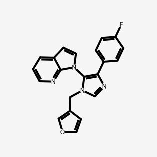 Fc1ccc(-c2ncn(Cc3ccoc3)c2-n2ccc3cccnc32)cc1